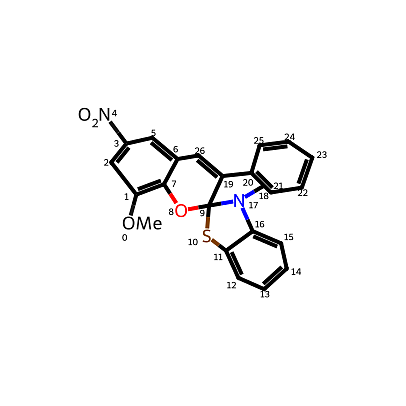 COc1cc([N+](=O)[O-])cc2c1OC1(Sc3ccccc3N1C)C(c1ccccc1)=C2